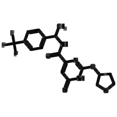 CC(NC(=O)c1cc(=O)[nH]c(OC2CCOC2)n1)c1ccc(C(F)(F)F)cc1